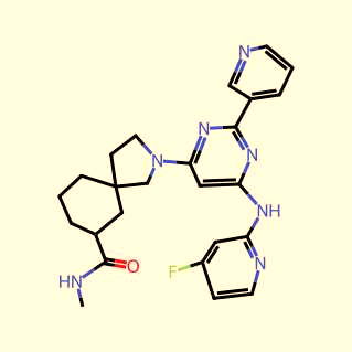 CNC(=O)C1CCCC2(CCN(c3cc(Nc4cc(F)ccn4)nc(-c4cccnc4)n3)C2)C1